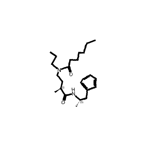 CCCCCCC(=O)N(CCC)CC[C@H](C)C(=O)N[C@@H](C)Cc1ccccc1